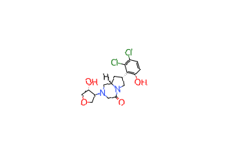 O=C1CN([C@H]2COC[C@@H]2O)C[C@@H]2C[C@H](c3c(O)ccc(Cl)c3Cl)CN12